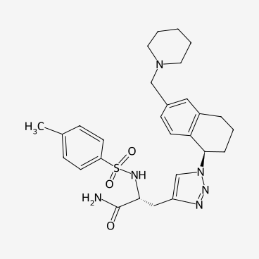 Cc1ccc(S(=O)(=O)N[C@H](Cc2cn([C@@H]3CCCc4cc(CN5CCCCC5)ccc43)nn2)C(N)=O)cc1